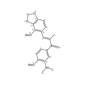 COc1ccc(C(=O)/C(C)=C/c2ccc3c(c2OC)OCO3)cc1N(C)C